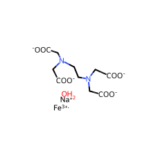 O.O=C([O-])CN(CCN(CC(=O)[O-])CC(=O)[O-])CC(=O)[O-].[Fe+3].[Na+]